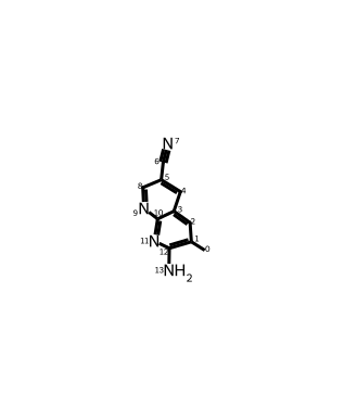 Cc1cc2cc(C#N)cnc2nc1N